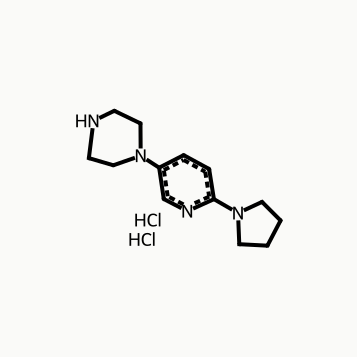 Cl.Cl.c1cc(N2CCCC2)ncc1N1CCNCC1